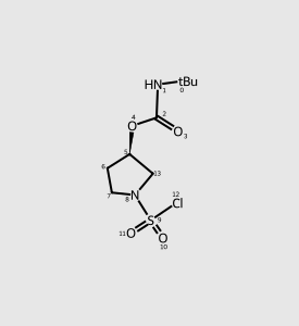 CC(C)(C)NC(=O)O[C@@H]1CCN(S(=O)(=O)Cl)C1